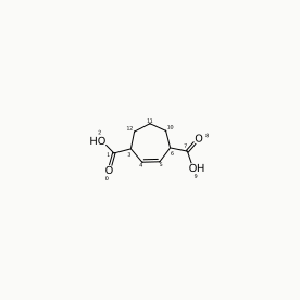 O=C(O)C1C=CC(C(=O)O)CCC1